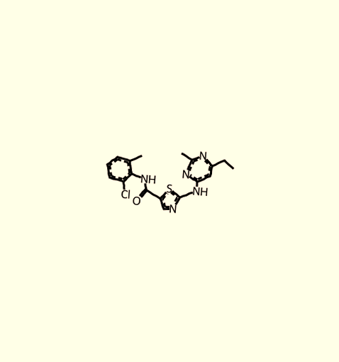 CCc1cc(Nc2ncc(C(=O)Nc3c(C)cccc3Cl)s2)nc(C)n1